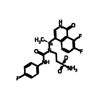 C[C@H](c1c[nH]c(=O)c2c(F)c(F)ccc12)N(CCS(N)(=O)=O)C(=O)Nc1ccc(F)cc1